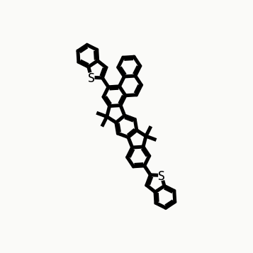 CC1(C)c2cc(-c3cc4ccccc4s3)ccc2-c2cc3c(cc21)-c1c(cc(-c2cc4ccccc4s2)c2c1ccc1ccccc12)C3(C)C